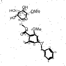 COc1cc(OCc2ccccc2)cc(C)c1C(=O)OC[C@H]1O[C@@H](OC)[C@H](O)[C@@H](O)[C@@H]1O